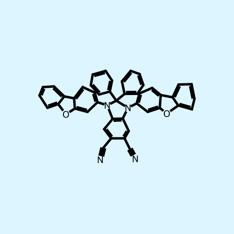 N#Cc1cc2c(cc1C#N)N(c1ccc3c(c1)oc1ccccc13)C(c1ccccc1)(c1ccccc1)N2c1ccc2c(c1)oc1ccccc12